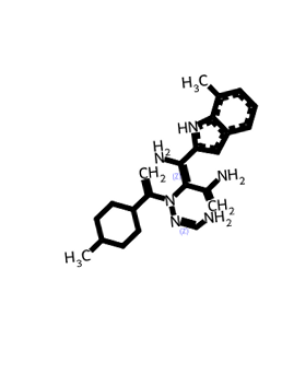 C=C(N)/C(=C(/N)c1cc2cccc(C)c2[nH]1)N(/N=C\N)C(=C)C1CCC(C)CC1